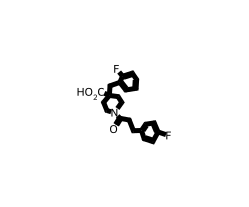 O=C(CCc1ccc(F)cc1)N1CCC(Cc2ccccc2F)(C(=O)O)CC1